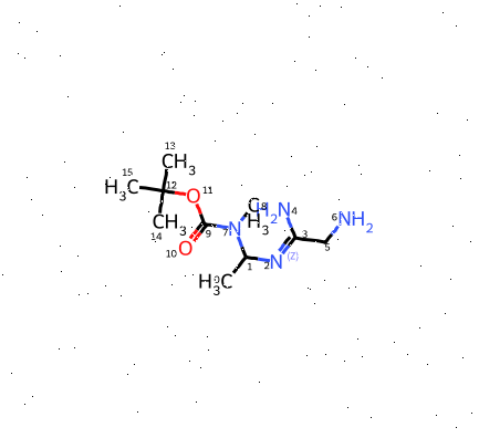 CC(/N=C(\N)CN)N(C)C(=O)OC(C)(C)C